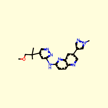 COCC(C)(C)c1cnnc(Nc2ccc3ncc(-c4cnn(C)c4)cc3n2)c1